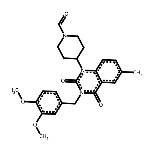 COc1ccc(Cn2c(=O)c3cc(C)ccc3n(C3CCN(C=O)CC3)c2=O)cc1OC